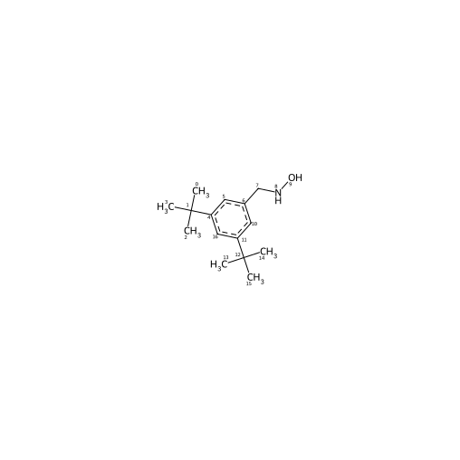 CC(C)(C)c1cc(CNO)cc(C(C)(C)C)c1